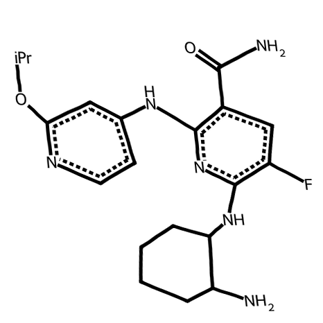 CC(C)Oc1cc(Nc2nc(NC3CCCCC3N)c(F)cc2C(N)=O)ccn1